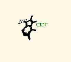 CC1=C(C)[CH]([Zr+2])c2ccc(C)c(C)c21.[Cl-].[Cl-]